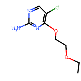 CCOCCOc1nc(N)ncc1Cl